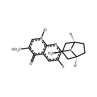 CCn1cc(C(=O)O)c(=O)c2cc(F)c(N3[C@@H]4CC[C@H]3C[C@@H](N)C4)nc21